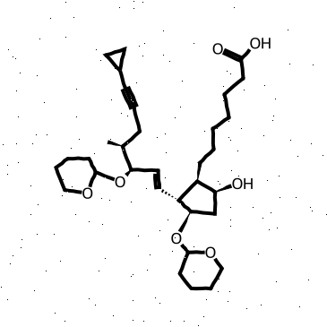 C[C@@H](CC#CC1CC1)[C@@H](/C=C/[C@@H]1[C@@H](CCCCCCC(=O)O)[C@@H](O)C[C@H]1OC1CCCCO1)OC1CCCCO1